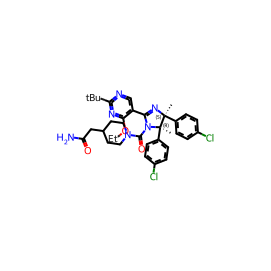 CCOc1nc(C(C)(C)C)ncc1C1=N[C@@](C)(c2ccc(Cl)cc2)[C@@](C)(c2ccc(Cl)cc2)N1C(=O)N1CCC(CC(N)=O)CC1